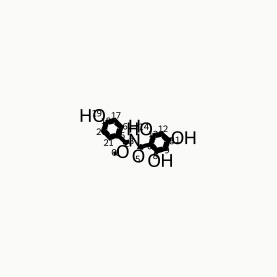 COC(NC(=O)c1c(O)cc(O)cc1O)c1ccc(O)cc1